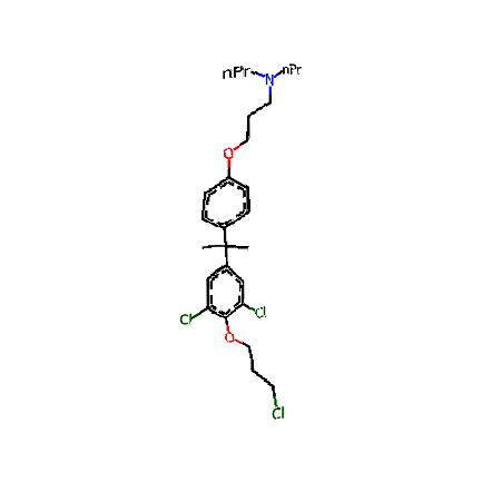 CCCN(CCC)CCCOc1ccc(C(C)(C)c2cc(Cl)c(OCCCCl)c(Cl)c2)cc1